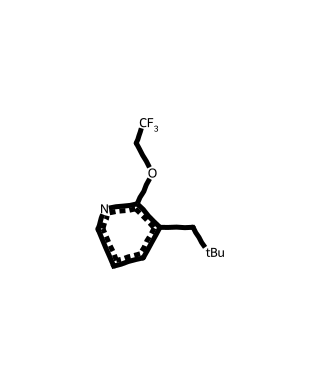 CC(C)(C)Cc1cccnc1OCC(F)(F)F